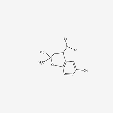 CCN(C(C)=O)C1[CH]C(C)(C)Oc2ccc(C#N)cc21